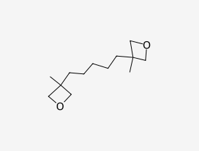 CC1(CCCCCC2(C)COC2)COC1